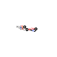 CN(C)S(=O)(=O)c1cccc(-c2cccc(OCC(O)CN3CCc4ccccc4C3)c2)c1